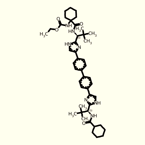 CCOC(=O)NC1(C(=O)N[C@H](c2nc(-c3ccc(-c4ccc(-c5c[nH]c([C@@H](NC(=O)C6CCCCC6)C(C)(C)C)n5)cc4)cc3)c[nH]2)C(C)(C)C)CCCCC1